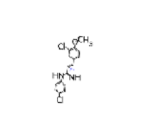 COc1ccc(/C=C/C(=N)Nc2ccc(Cl)cc2)cc1Cl